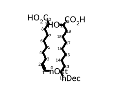 CCCCCCCC/C=C\CCCCCCCC(=O)O.CCCCCCCCCCCCCCCCCCC(O)C(=O)O